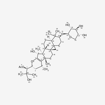 CC(=O)O[C@@H]([C@H]1C[C@@H](C)C2=C(O1)[C@H](O)[C@@]1(C)[C@@H]3CC[C@H]4C(C)(C)[C@@H](O[C@@H]5OC[C@@H](O)[C@H](O)[C@H]5O)CCC45C[C@@]35CC[C@]21C)C(C)(C)O